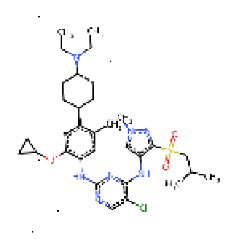 CCN(CC)[C@H]1CC[C@@H](c2cc(OC3CC3)c(Nc3ncc(Cl)c(Nc4cn(C)nc4S(=O)(=O)CC(C)C)n3)cc2C)CC1